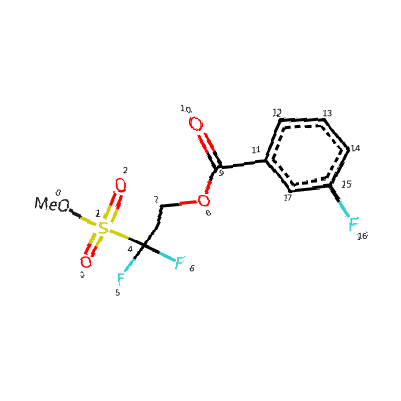 COS(=O)(=O)C(F)(F)COC(=O)c1cccc(F)c1